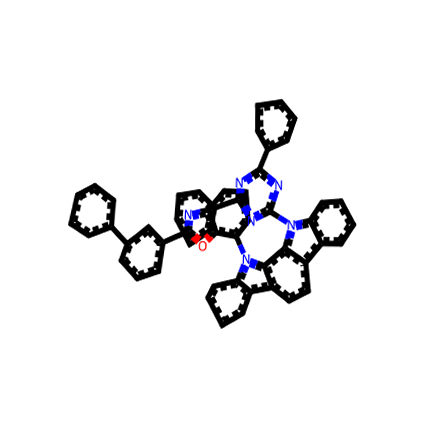 c1ccc(-c2cccc(-c3nc4cccc(-n5c6ccccc6c6ccc7c8ccccc8n(-c8nc(-c9ccccc9)nc(-c9ccccc9)n8)c7c65)c4o3)c2)cc1